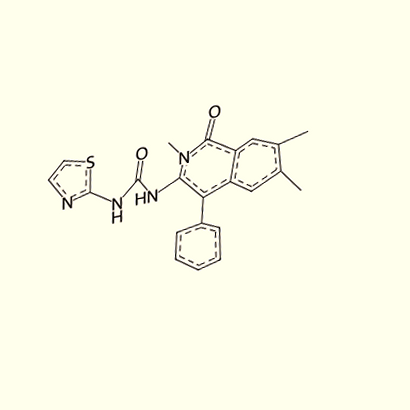 Cc1cc2c(-c3ccccc3)c(NC(=O)Nc3nccs3)n(C)c(=O)c2cc1C